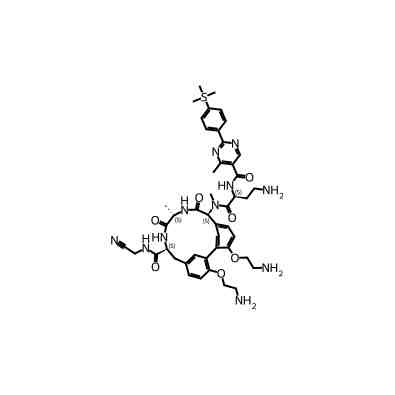 Cc1nc(-c2ccc(S(C)(C)C)cc2)ncc1C(=O)N[C@@H](CCN)C(=O)N(C)[C@@H]1C(=O)N[C@@H](C)C(=O)N[C@H](C(=O)NCC#N)Cc2ccc(OCCN)c(c2)-c2cc1ccc2OCCN